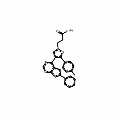 CNC(=O)CCn1cc(-c2ncnc3oc(-c4ccccc4)cc23)c(-c2ccc(F)cc2)n1